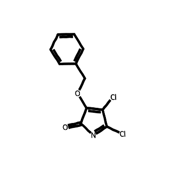 O=C1N=C(Cl)C(Cl)=C1OCc1ccccc1